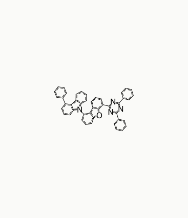 c1ccc(-c2nc(-c3ccccc3)nc(-c3cccc4c3oc3cccc(-n5c6ccccc6c6c(-c7ccccc7)cccc65)c34)n2)cc1